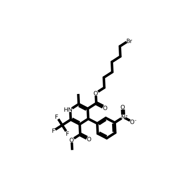 COC(=O)C1=C(C(F)(F)F)NC(C)=C(C(=O)OCCCCCCBr)C1c1cccc([N+](=O)[O-])c1